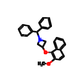 COc1ccc2ccccc2c1OC1CN(C(c2ccccc2)c2ccccc2)C1